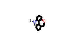 CCN(CC)c1cccc2c1-c1ccccc1C=CO2